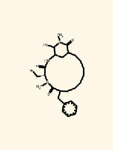 CC(C)C[C@H]1C(=O)NC2CC(CCCCCCCC(Cc3ccccc3)C(=O)N1C)C(=O)N(C)C2O